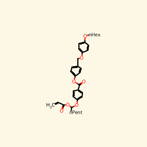 C=CC(=O)OC(CCCCC)Oc1ccc(C(=O)Oc2ccc(COc3ccc(OCCCCCC)cc3)cc2)cc1